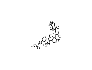 CCOC(=O)C1CN(C2CCc3cc(-c4ccc(F)c(-c5c(F)ccc(NC(=O)c6ccnn(C)c6=O)c5C)c4Cl)nc(OC)c32)C1